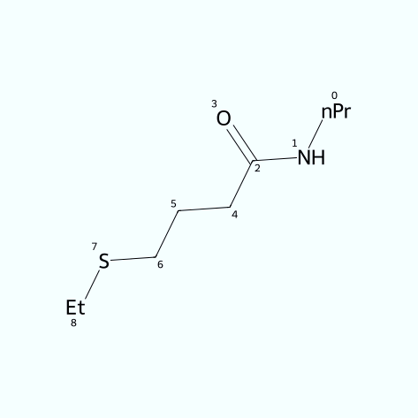 CCCNC(=O)CCCSCC